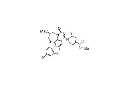 CO[C@@H]1CSc2c(-c3ccc(F)cc3F)c(C)cc3c(N4CCN(C(=O)OC(C)(C)C)C[C@@H]4C)nc(=O)n(c23)C1